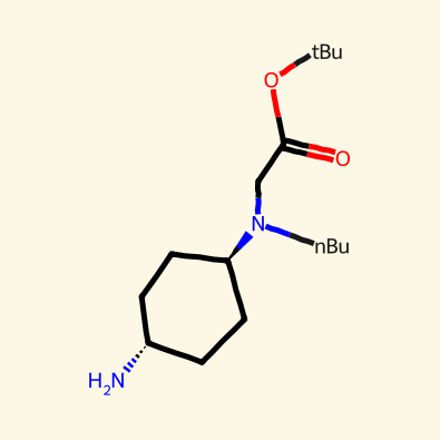 CCCCN(CC(=O)OC(C)(C)C)[C@H]1CC[C@H](N)CC1